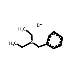 CC[S+](CC)Cc1ccccc1.[Br-]